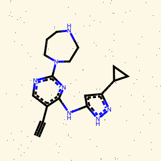 C#Cc1cnc(N2CCCNCC2)nc1Nc1cc(C2CC2)n[nH]1